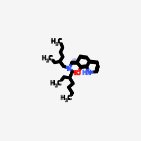 CCCCC(CC)CN(/C=c1/ccc2c(c1O)NC=CC=2)CC(CC)CCCC